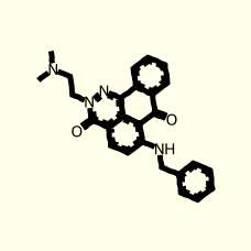 CN(C)CCn1nc2c3c(c(NCc4ccccc4)ccc3c1=O)C(=O)c1ccccc1-2